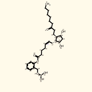 CCCCCCCC(=O)CC[C@@H]1[C@@H](C/C=C\CCCC(=O)Oc2ccccc2CON(O)O)[C@@H](O)C[C@H]1O